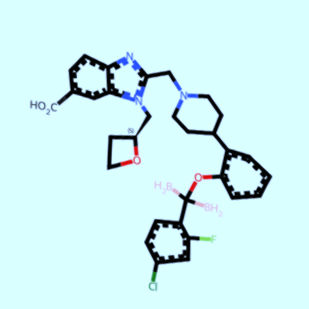 BC(B)(Oc1ccccc1C1CCN(Cc2nc3ccc(C(=O)O)cc3n2C[C@@H]2CCO2)CC1)c1ccc(Cl)cc1F